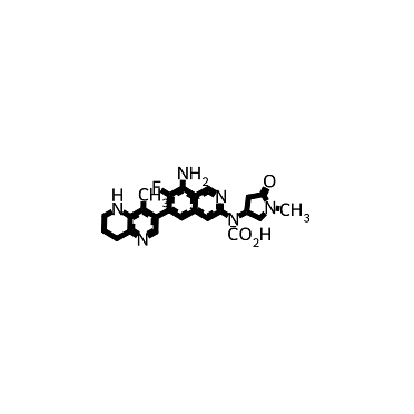 Cc1c(-c2cc3cc(N(C(=O)O)C4CC(=O)N(C)C4)ncc3c(N)c2F)cnc2c1NCCC2